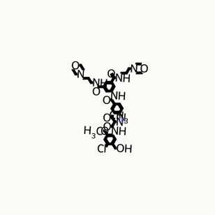 COc1cc(Cl)c(CO)cc1NC(=O)C(/N=N\c1ccc(C(=O)Nc2cc(C(=O)NCCCN3CCOCC3)cc(C(=O)NCCCN3CCOCC3)c2)cc1)C(C)=O